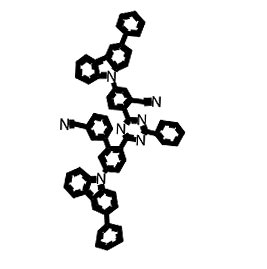 N#Cc1cccc(-c2cc(-n3c4ccccc4c4cc(-c5ccccc5)ccc43)ccc2-c2nc(-c3ccccc3)nc(-c3ccc(-n4c5ccccc5c5cc(-c6ccccc6)ccc54)cc3C#N)n2)c1